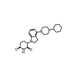 O=C1CCC(N2CCc3c(N4CCN(C5CCCCC5)CC4)cccc32)C(=O)N1